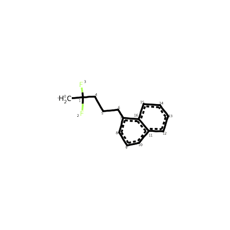 [CH2]C(F)(F)CCCc1cccc2ccccc12